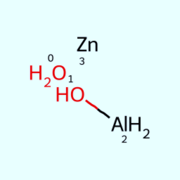 O.[OH][AlH2].[Zn]